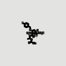 CC(OC(=O)C(C)(C)C)OC(=O)[C@@]1(N)[C@H]2[C@@H](C[C@H]1OCc1ccc(F)cc1)[C@]2(F)C(=O)O